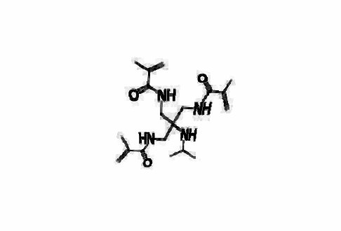 C=C(C)C(=O)NCC(CNC(=O)C(=C)C)(CNC(=O)C(=C)C)NC(C)C